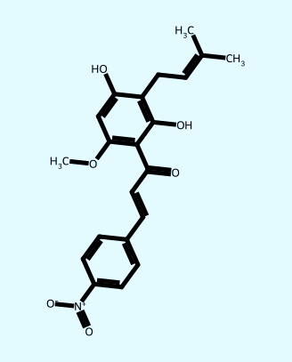 COc1cc(O)c(CC=C(C)C)c(O)c1C(=O)/C=C/c1ccc([N+](=O)[O-])cc1